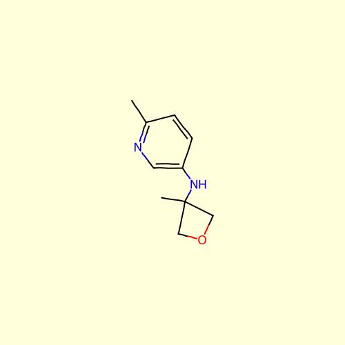 Cc1ccc(NC2(C)COC2)cn1